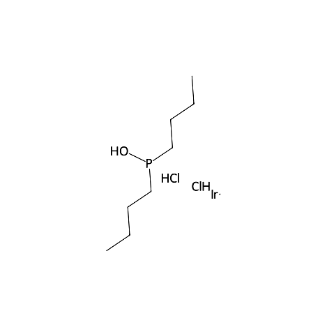 CCCCP(O)CCCC.Cl.Cl.[Ir]